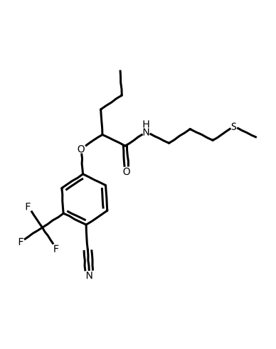 CCCC(Oc1ccc(C#N)c(C(F)(F)F)c1)C(=O)NCCCSC